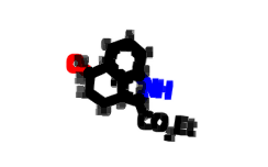 CCOC(=O)c1[nH]c2cccc3c2c1CCC3=O